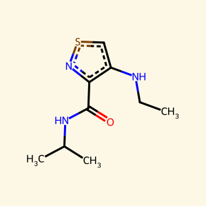 CCNc1csnc1C(=O)NC(C)C